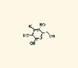 O=N[C@@H]1C(CO)O[C@@H](N=O)C(O)C1O